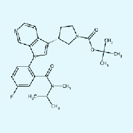 CC(C)N(C)C(=O)c1cc(F)ccc1-n1cc([C@@H]2CCN(C(=O)OC(C)(C)C)C2)c2ccncc21